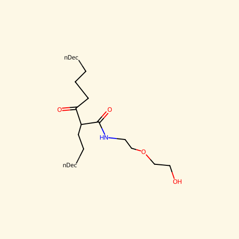 CCCCCCCCCCCCCC(=O)C(CCCCCCCCCCCC)C(=O)NCCOCCO